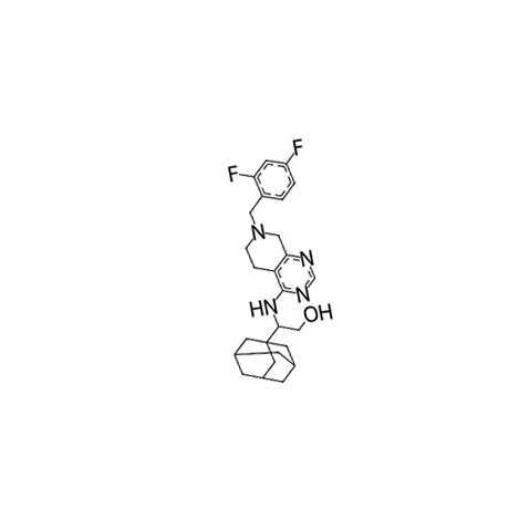 OCC(Nc1ncnc2c1CCN(Cc1ccc(F)cc1F)C2)C12CC3CC(CC(C3)C1)C2